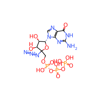 [N-]=[N+]=NC1(COP(=O)(O)OP(=O)(O)OP(=O)(O)O)O[C@@H](n2cnc3c(=O)[nH]c(N)nc32)[C@H](O)[C@@H]1O